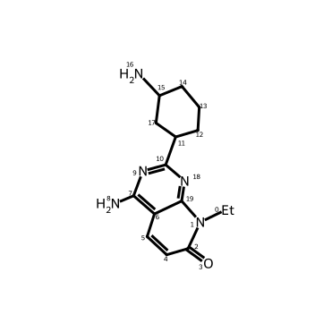 CCn1c(=O)ccc2c(N)nc(C3CCCC(N)C3)nc21